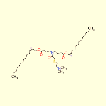 CCCCCCCCCCC/C=C\COC(=O)CCCN(CCCC(=O)O/C=C\CCCCCCCCCCC)C(=O)CSCCN(C)C